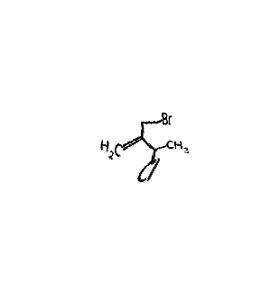 C=C(CBr)C(C)Cl